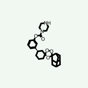 O=C(Oc1cccc([C@@H]2CCCC3(C2)OOC2(O3)C3CC4CC(C3)CC2C4)c1)N1CCNCC1